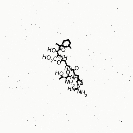 Cc1c(C(O)C(NC(=O)CCCNC(=O)C(CC2=CCN(C(=N)N)C2)NC(=O)C(N)C(C)O)C(=O)O)oc2c(C)cccc12